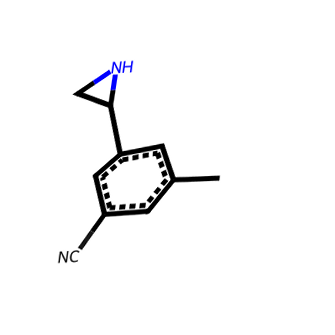 Cc1cc(C#N)cc(C2CN2)c1